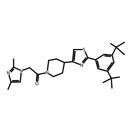 Cc1cn(CC(=O)N2CCC(c3csc(-c4cc(C(C)(C)C)cc(C(C)(C)C)c4)n3)CC2)c(C)n1